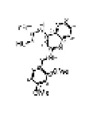 CCC[C@@H](CO)Nc1nc(NCc2ccc(OC)cc2OC)nc2cccnc12